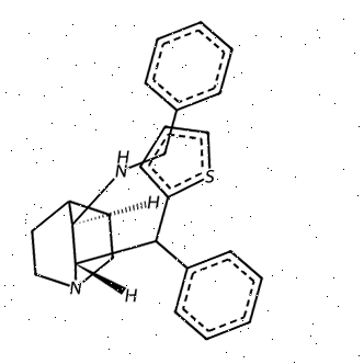 c1ccc(CN[C@@H]2C3CCN(CC3)[C@H]2C(c2ccccc2)c2cccs2)cc1